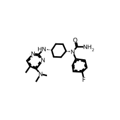 Cc1cnc(N[C@H]2CC[C@@H](N(C(N)=O)c3ccc(F)cc3)CC2)nc1N(C)C